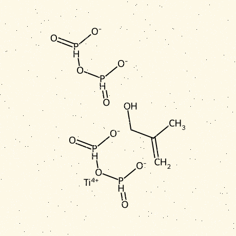 C=C(C)CO.O=[PH]([O-])O[PH](=O)[O-].O=[PH]([O-])O[PH](=O)[O-].[Ti+4]